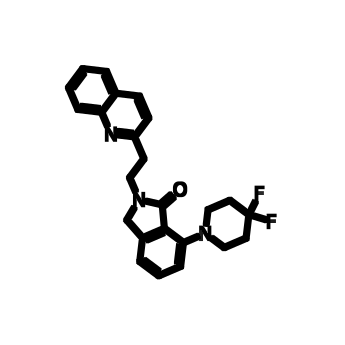 O=C1c2c(cccc2N2CCC(F)(F)CC2)CN1CCc1ccc2ccccc2n1